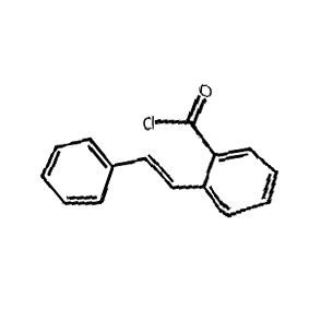 O=C(Cl)c1ccccc1C=Cc1ccccc1